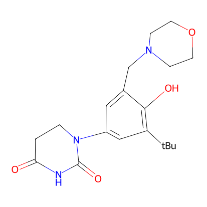 CC(C)(C)c1cc(N2CCC(=O)NC2=O)cc(CN2CCOCC2)c1O